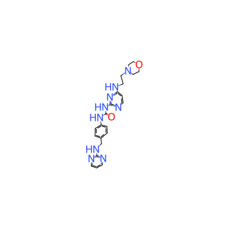 O=C(Nc1ccc(CNc2ncccn2)cc1)Nc1nccc(NCCN2CCOCC2)n1